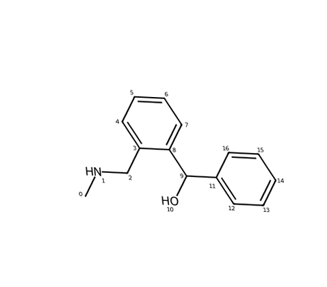 CNCc1ccccc1C(O)c1ccccc1